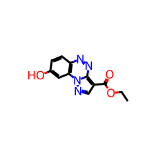 CCOC(=O)c1cnn2c1nnc1ccc(O)cc12